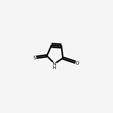 O=C1C#CC(=S)N1